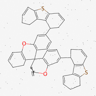 C1=CC2=C(CC1)C1(c3ccc(C4CC=Cc5sc6c(c54)CCC=C6)cc3O2)c2ccccc2Oc2cc(C3CC=Cc4sc5c(c43)C=CCC5)ccc21